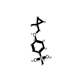 CC1(COc2[c]cc(S(C)(=O)=O)cc2)CC1